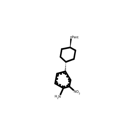 CCCCC[C@H]1CC[C@H](c2ccc(N)c([N+](=O)[O-])c2)CC1